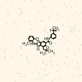 Cc1cccc(Cl)c1Nc1nc2cc(C(=O)Nc3cccc(C(C)(F)F)c3)c3c(c2[nH]1)CC(C)(C)O3